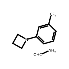 FC(F)(F)c1cccc(N2CCC2)c1.NC=O